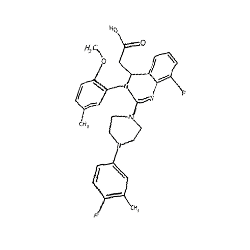 COc1ccc(C)cc1N1C(N2CCN(c3ccc(F)c(C)c3)CC2)=Nc2c(F)cccc2C1CC(=O)O